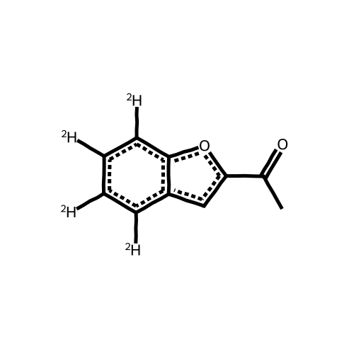 [2H]c1c([2H])c([2H])c2oc(C(C)=O)cc2c1[2H]